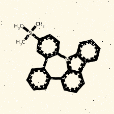 C[Si](C)(C)c1ccc2c(c1)-c1ccccc1-c1cccc3c4ccccc4n-2c13